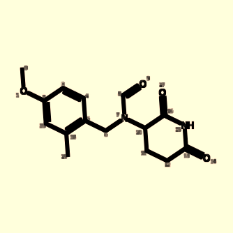 COc1ccc(CN(C=O)C2CCC(=O)NC2=O)c(C)c1